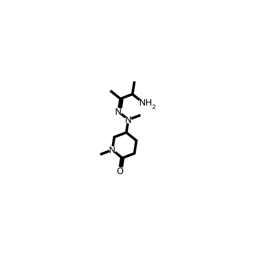 C/C(=N/N(C)C1CCC(=O)N(C)C1)C(C)N